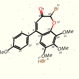 Br.COc1ccc(C2=CC(=O)C(Br)Oc3c2cc(OC)c(OC)c3OC)cc1